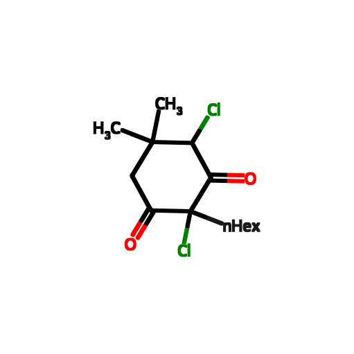 CCCCCCC1(Cl)C(=O)CC(C)(C)C(Cl)C1=O